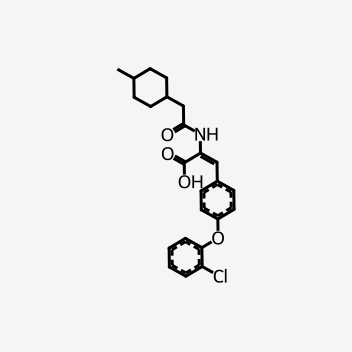 CC1CCC(CC(=O)NC(=Cc2ccc(Oc3ccccc3Cl)cc2)C(=O)O)CC1